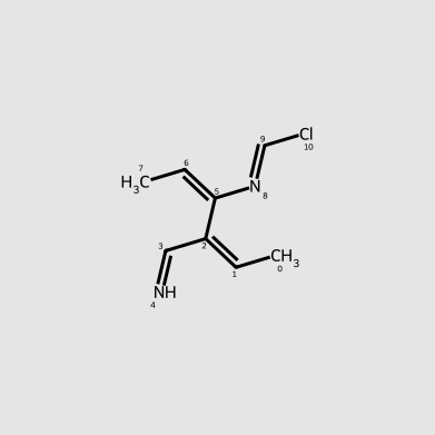 C\C=C(C=N)/C(=C\C)/N=C/Cl